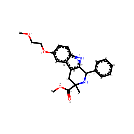 COCCOc1ccc2[nH]c3c(c2c1)CC(C)(C(=O)OC)NC3c1ccccc1